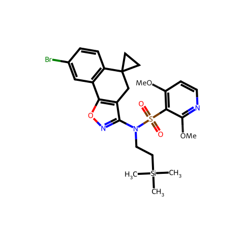 COc1ccnc(OC)c1S(=O)(=O)N(CC[Si](C)(C)C)c1noc2c1CC1(CC1)c1ccc(Br)cc1-2